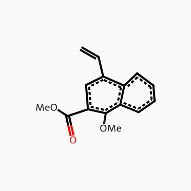 C=Cc1cc(C(=O)OC)c(OC)c2ccccc12